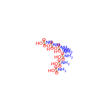 N.N.N.NS(=O)(=O)O.NS(=O)(=O)O.NS(=O)(=O)O.NS(=O)(=O)O.NS(=O)(=O)O.NS(=O)(=O)O